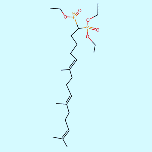 CCO[PH](=O)C(CCC/C=C(\C)CC/C=C(\C)CCC=C(C)C)P(=O)(OCC)OCC